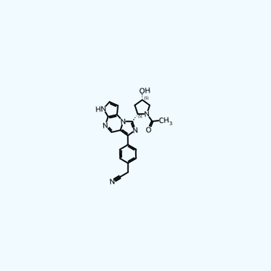 CC(=O)N1C[C@@H](O)C[C@H]1c1nc(-c2ccc(CC#N)cc2)c2cnc3[nH]ccc3n12